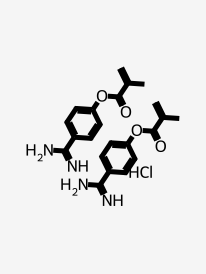 C=C(C)C(=O)Oc1ccc(C(=N)N)cc1.C=C(C)C(=O)Oc1ccc(C(=N)N)cc1.Cl